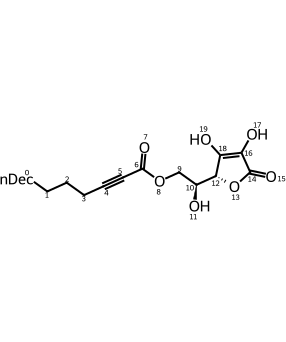 CCCCCCCCCCCCCC#CC(=O)OC[C@H](O)[C@H]1OC(=O)C(O)=C1O